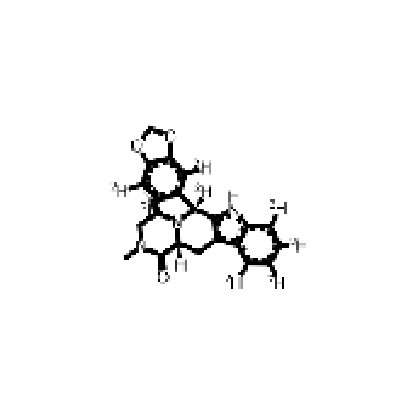 [2H]c1c([2H])c([C@]2([2H])c3[nH]c4c([2H])c([2H])c([2H])c([2H])c4c3C[C@@H]3C(=O)N(C)CC(=O)N32)c([2H])c2c1OCO2